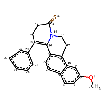 COc1ccc2ccc3c(c2c1)CCN1C(=S)CCC(c2ccccc2)=C31